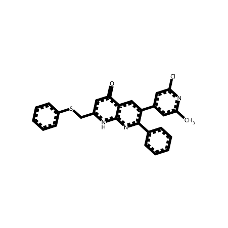 Cc1cc(-c2cc3c(=O)cc(CSc4ccccc4)[nH]c3nc2-c2ccccc2)cc(Cl)n1